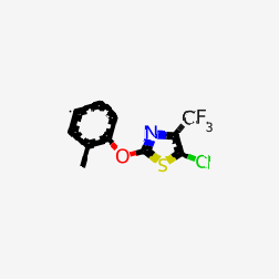 Cc1c[c]ccc1Oc1nc(C(F)(F)F)c(Cl)s1